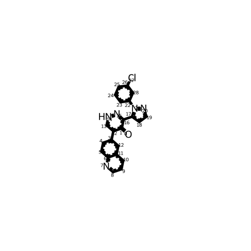 O=c1c(-c2ccc3ncccc3c2)c[nH]nc1-c1ccnn1-c1cccc(Cl)c1